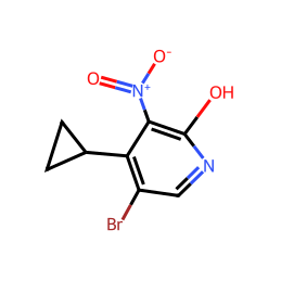 O=[N+]([O-])c1c(O)ncc(Br)c1C1CC1